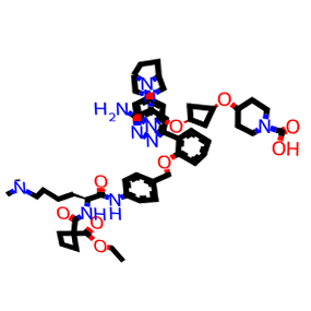 CCOC(=O)C1(C(=O)N[C@@H](CCCCN(C)C)C(=O)Nc2ccc(COc3ccccc3-c3cc(N4CC5CCC(C4)N5c4ccnc(O[C@H]5C[C@H](OC6CCN(C(=O)O)CC6)C5)c4)c(N)nn3)cc2)CCC1